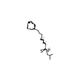 CC(C)CNC(=S)/C=C/C=C/CCCc1ccccc1